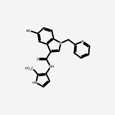 N#Cc1ccc2c(c1)c(C(=O)Nc1cc[nH]c1C(=O)O)cn2Cc1ccccn1